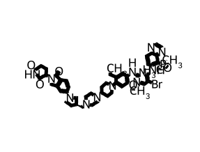 CCc1cc(Nc2ncc(Br)c(Nc3ccc4nccnc4c3P(C)(C)=O)n2)c(OC)cc1N1CCC(N2CCN(C[C@H]3CCN(c4ccc5c(c4)CN(C4CCC(=O)NC4=O)C5=O)C3)CC2)CC1